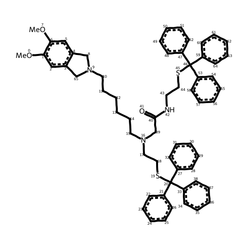 COc1cc2c(cc1OC)CN(CCCCCCN(CCSC(c1ccccc1)(c1ccccc1)c1ccccc1)CC(=O)NCCSC(c1ccccc1)(c1ccccc1)c1ccccc1)C2